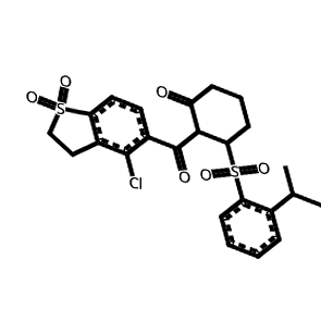 CC(C)c1ccccc1S(=O)(=O)C1CCCC(=O)C1C(=O)c1ccc2c(c1Cl)CCS2(=O)=O